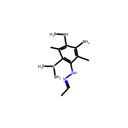 BBc1c(B)c(C)c(NN=CC)c(B(B)B)c1C